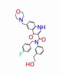 O=C(c1c[nH]c2ccc(CN3CCOCC3)cc2c1=O)N(Cc1ccc(F)cc1)c1cccc(CCO)c1